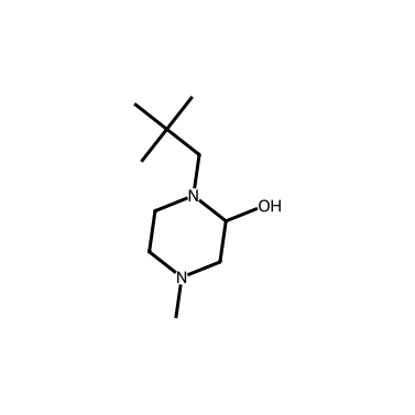 CN1CCN(CC(C)(C)C)C(O)C1